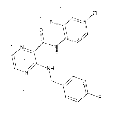 O=C(Nc1ccc(Cl)cc1F)c1nccnc1NCc1ccc(F)cc1